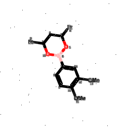 CCC1CC(CC)OB(c2ccc(OC)c(OC)c2)O1